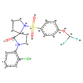 O=C1N(c2ccccc2Cl)CCC12CCCN2S(=O)(=O)c1ccc(OC(F)F)cc1